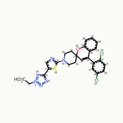 O=C(O)Cn1nnc(-c2cnc(N3CCC4(C=C(c5cc(Cl)ccc5Cl)c5ccccc5O4)CC3)s2)n1